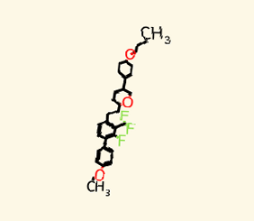 CCCCOC1CCC(C2CCC(CCc3ccc(-c4ccc(OCC)cc4)c(F)c3C(F)F)OC2)CC1